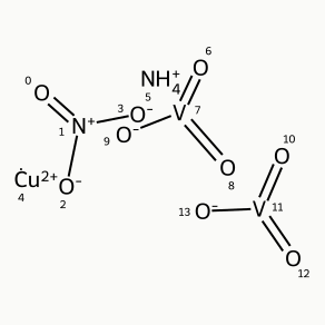 O=[N+]([O-])[O-].[Cu+2].[NH4+].[O]=[V](=[O])[O-].[O]=[V](=[O])[O-]